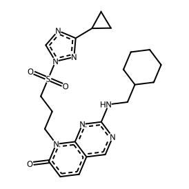 O=c1ccc2cnc(NCC3CCCCC3)nc2n1CCCS(=O)(=O)n1cnc(C2CC2)n1